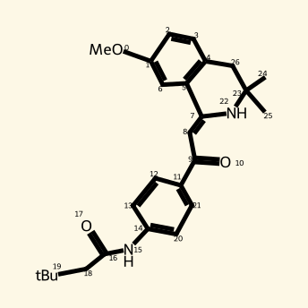 COc1ccc2c(c1)C(=CC(=O)c1ccc(NC(=O)CC(C)(C)C)cc1)NC(C)(C)C2